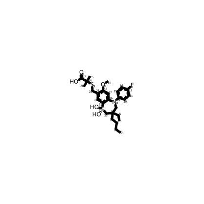 CCCCC1(CC)CN(c2ccc(F)cc2)c2cc(OC)c(CSC(C)(C)C(=O)O)cc2S(O)(O)C1